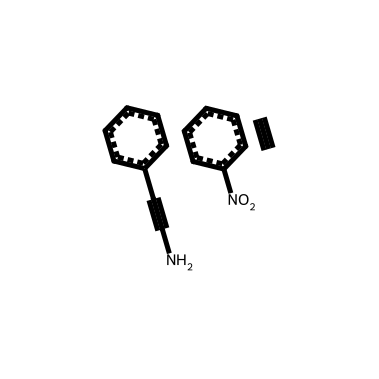 C#C.NC#Cc1ccccc1.O=[N+]([O-])c1ccccc1